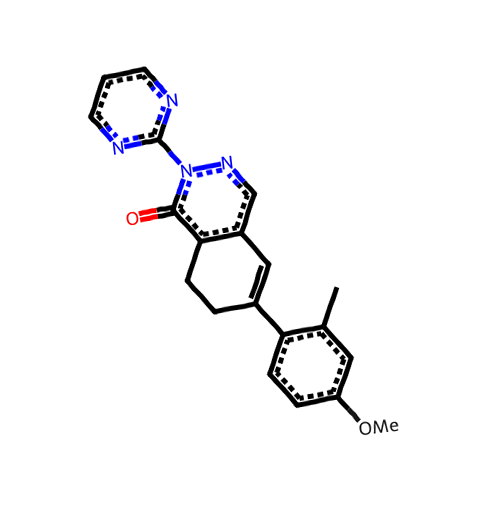 COc1ccc(C2=Cc3cnn(-c4ncccn4)c(=O)c3CC2)c(C)c1